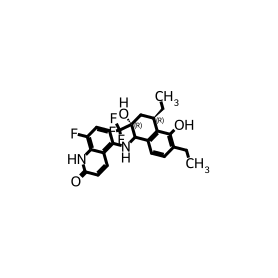 CCc1ccc2c(c1O)[C@H](CC)C[C@](O)(C(F)(F)F)C2Nc1ccc(F)c2[nH]c(=O)ccc12